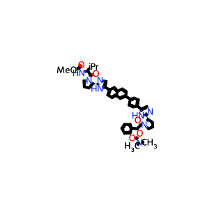 COC(=O)NC(C(=O)N1CCC[C@H]1c1ncc(-c2ccc3cc(-c4ccc(-c5cnc([C@@H]6CCCN6C(=O)[C@@H](OC(=O)N(C)C)c6ccccc6)[nH]5)cc4)ccc3c2)[nH]1)C(C)C